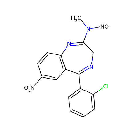 CN(N=O)C1=Nc2ccc([N+](=O)[O-])cc2C(c2ccccc2Cl)=NC1